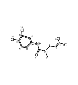 CN(CC=C(Cl)Cl)C(=O)Nc1ccc(Cl)c(Cl)c1